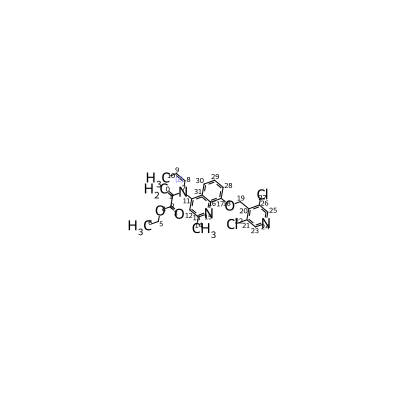 C=C(C(=O)OCC)N(/C=C\C)c1cc(C)nc2c(OCc3c(Cl)cncc3Cl)cccc12